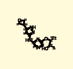 CC[C@@H](Oc1cncc(Nc2cc(C3COC3)[nH]n2)n1)[C@@H](C)O